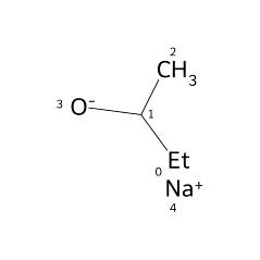 CCC(C)[O-].[Na+]